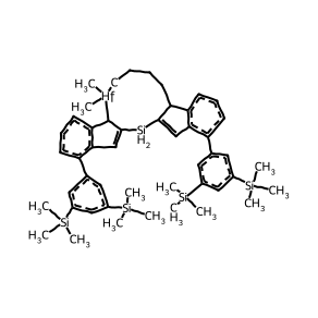 C[Si](C)(C)c1cc(-c2cccc3c2C=C2[SiH2]C4=Cc5c(-c6cc([Si](C)(C)C)cc([Si](C)(C)C)c6)cccc5[CH]4[Hf]([CH3])([CH3])[CH2]CCCC23)cc([Si](C)(C)C)c1